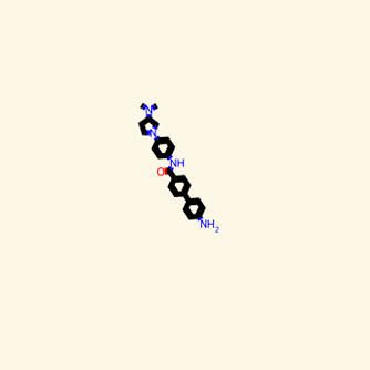 CN(C)C1CCN(c2ccc(NC(=O)c3ccc(-c4ccc(N)cc4)cc3)cc2)C1